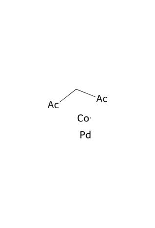 CC(=O)CC(C)=O.[Co].[Pd]